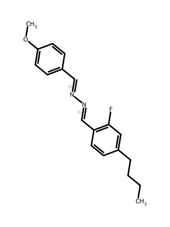 CCCCc1ccc(/C=N/N=C/c2ccc(OC)cc2)c(F)c1